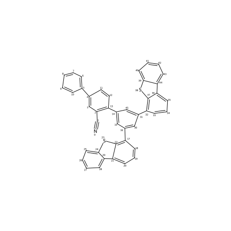 N#Cc1cc(-c2ccccc2)ccc1-c1cc(-c2cccc3c2sc2ccccc23)cc(-c2cccc3c2sc2ccccc23)c1